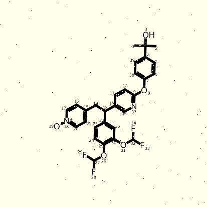 CC(C)(O)c1ccc(Oc2ccc(C(Cc3cc[n+]([O-])cc3)c3ccc(OC(F)F)c(OC(F)F)c3)cn2)cc1